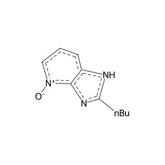 CCCCc1nc2c(ccc[n+]2[O-])[nH]1